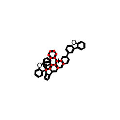 CC12CC=CC=C1Oc1ccccc1C21c2ccccc2-c2ccc(N(c3cccc(-c4ccc5oc6ccccc6c5c4)c3)c3ccccc3-c3ccccc3-c3ccccc3-c3ccccc3)cc21